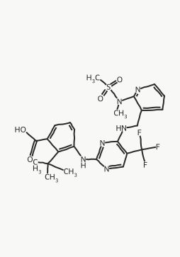 CN(c1ncccc1CNc1nc(Nc2cccc(C(=O)O)c2C(C)(C)C)ncc1C(F)(F)F)S(C)(=O)=O